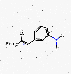 CCOC(=O)/C(C#N)=C/c1cccc(N(CC)CC)c1